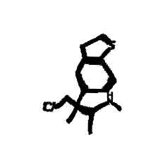 CNC(C)C(C)(CCl)c1ccc2c(c1)CCS2